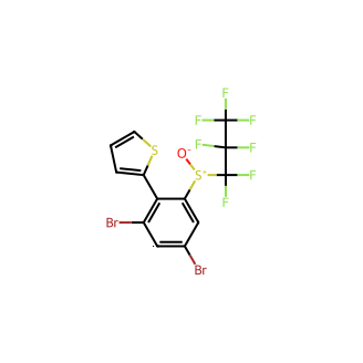 [O-][S+](c1cc(Br)[c]c(Br)c1-c1cccs1)C(F)(F)C(F)(F)C(F)(F)F